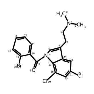 CN(C)CCc1cn(C(=O)c2ccccc2Br)c2c(Cl)cc(Cl)cc12